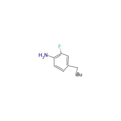 CCC(C)Cc1ccc(N)c(F)c1